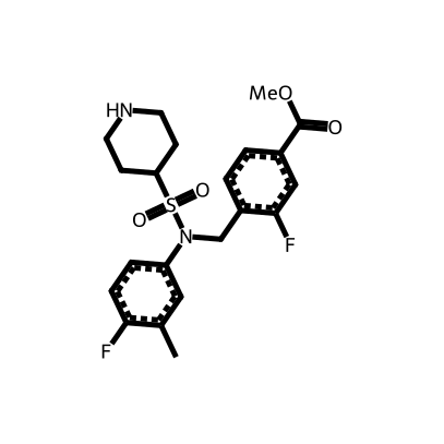 COC(=O)c1ccc(CN(c2ccc(F)c(C)c2)S(=O)(=O)C2CCNCC2)c(F)c1